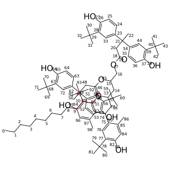 CCCCCCCCCCCCSC(CC(COC(=O)CC(C)(c1ccc(O)c(C(C)(C)C)c1)c1ccc(O)c(C(C)(C)C)c1)OC(=O)CC(C)(c1ccc(O)c(C(C)(C)C)c1)c1ccc(O)c(C(C)(C)C)c1)CC(c1cc(C(C)(C)C)c(O)cc1C)c1cc(C(C)(C)C)c(O)cc1C